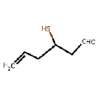 C=CCC(S)CC=O